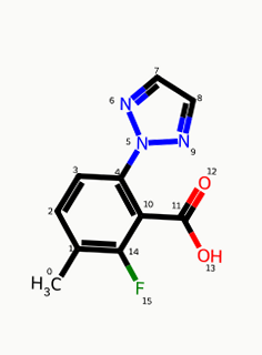 Cc1ccc(-n2nccn2)c(C(=O)O)c1F